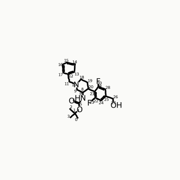 CC(C)(C)OC(=O)N[C@H]1CN(Cc2ccccc2)CCC1c1c(F)cc(CO)cc1F